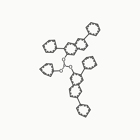 c1ccc(OP(Oc2cc3ccc(-c4ccccc4)cc3cc2-c2ccccc2)Oc2cc3ccc(-c4ccccc4)cc3cc2-c2ccccc2)cc1